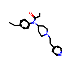 CCC(=O)N(c1ccc(CC)cc1)C1CCN(CCc2ccncc2)CC1